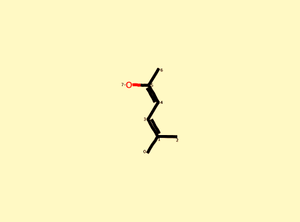 CC(C)=CC=C(C)[O]